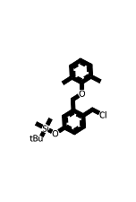 Cc1cccc(C)c1OCc1cc(O[Si](C)(C)C(C)(C)C)ccc1CCl